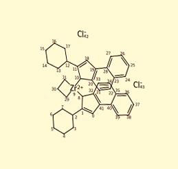 C1=C(C2CCCCC2)[CH]([Zr+2]2([CH]3C(C4CCCCC4)=Cc4c3ccc3ccccc43)[CH2]C[CH2]2)c2ccc3ccccc3c21.[Cl-].[Cl-]